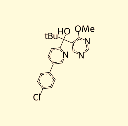 COc1ncncc1C(O)(c1ccc(-c2ccc(Cl)cc2)cn1)C(C)(C)C